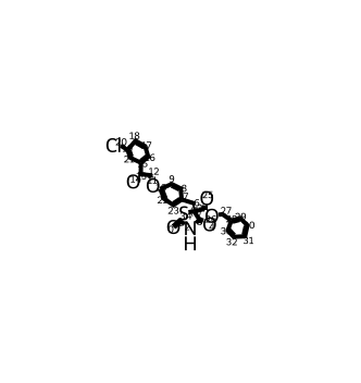 O=C1NC(=O)[C@@](Cc2ccc(OCC(=O)c3cccc(Cl)c3)cc2)(C(=O)OCc2ccccc2)S1